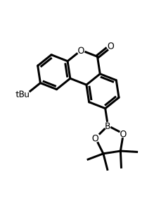 CC(C)(C)c1ccc2oc(=O)c3ccc(B4OC(C)(C)C(C)(C)O4)cc3c2c1